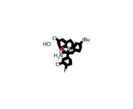 CC(C)(C)c1ccc(CC(C(N)=O)(c2ccc(F)c(Cl)c2)N2CCCc3cc(Cl)cc(C(=O)O)c32)cc1.Cl